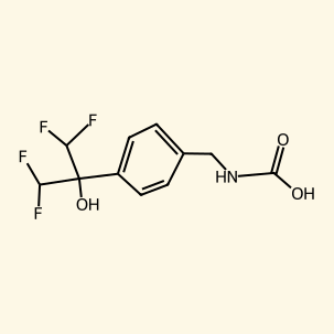 O=C(O)NCc1ccc(C(O)(C(F)F)C(F)F)cc1